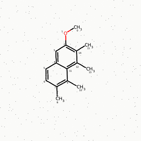 COc1cc2ccc(C)c(C)c2c(C)c1C